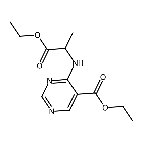 CCOC(=O)c1cncnc1NC(C)C(=O)OCC